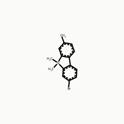 Cc1ccc2c(c1)[Si](C)(C)c1cc(Br)ccc1-2